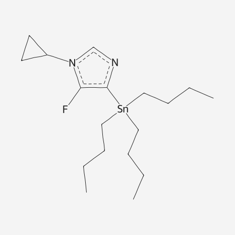 CCC[CH2][Sn]([CH2]CCC)([CH2]CCC)[c]1ncn(C2CC2)c1F